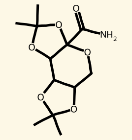 CC1(C)OC2COC3(C(N)=O)OC(C)(C)OC3C2O1